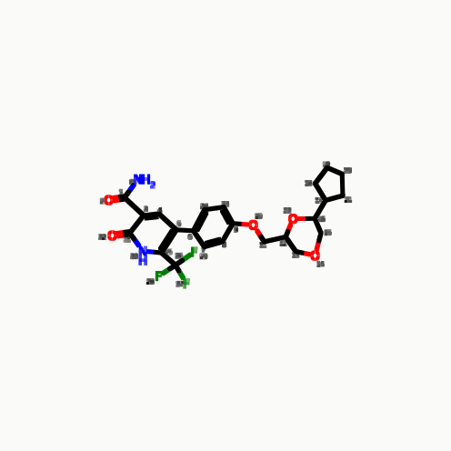 NC(=O)c1cc(-c2ccc(OCC3COCC(C4CCCC4)O3)cc2)c(C(F)(F)F)[nH]c1=O